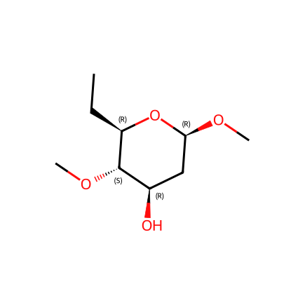 CC[C@H]1O[C@@H](OC)C[C@@H](O)[C@@H]1OC